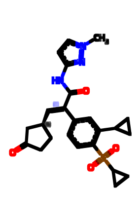 Cn1ccc(NC(=O)/C(=C/[C@H]2CCC(=O)C2)c2ccc(S(=O)(=O)C3CC3)c(C3CC3)c2)n1